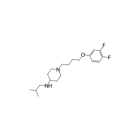 CC(C)CNC1CCN(CCCCOc2ccc(F)c(F)c2)CC1